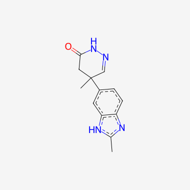 Cc1nc2ccc(C3(C)C=NNC(=O)C3)cc2[nH]1